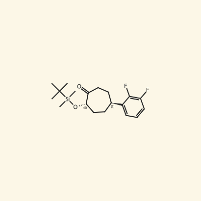 CC(C)(C)[Si](C)(C)O[C@H]1CC[C@H](c2cccc(F)c2F)CCC1=O